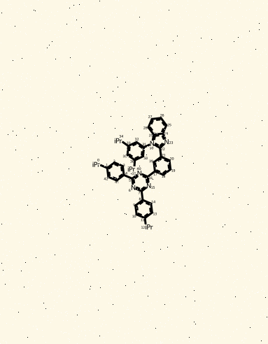 CC(C)c1ccc(-c2nc(-c3ccc(C(C)C)cc3)nc(-c3cccc(-c4nc5ccccc5n4-c4cc(C(C)C)cc(C(C)C)c4)c3)n2)cc1